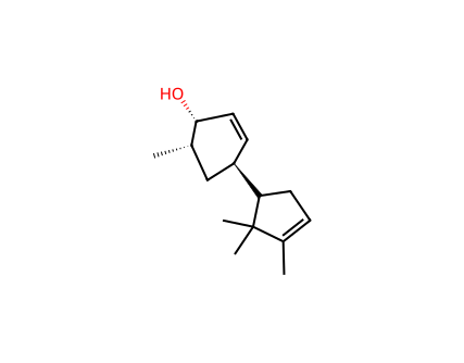 CC1=CCC([C@@H]2C=C[C@@H](O)[C@@H](C)C2)C1(C)C